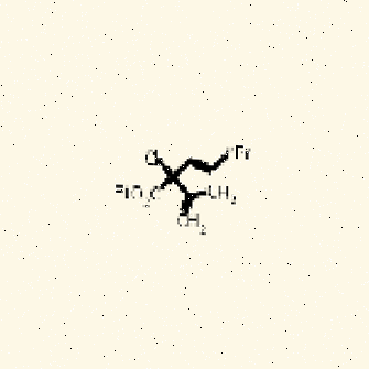 C=C(C)C(Cl)(C=CCCC)C(=O)OCC